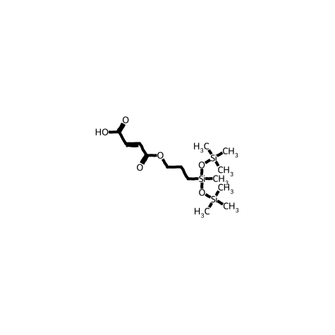 C[Si](C)(C)O[Si](C)(CCCOC(=O)C=CC(=O)O)O[Si](C)(C)C